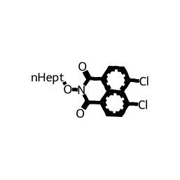 CCCCCCCON1C(=O)c2ccc(Cl)c3c(Cl)ccc(c23)C1=O